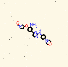 Nc1cc(-c2ccnc(Nc3ccc(N4CCOCC4)cc3)n2)ccc1OC1CCN(C=O)C1